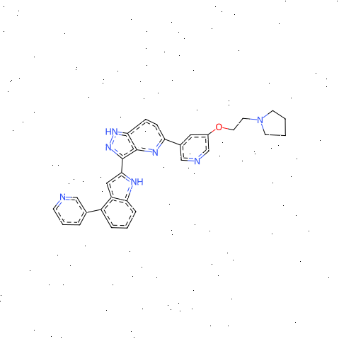 c1cncc(-c2cccc3[nH]c(-c4n[nH]c5ccc(-c6cncc(OCCN7CCCC7)c6)nc45)cc23)c1